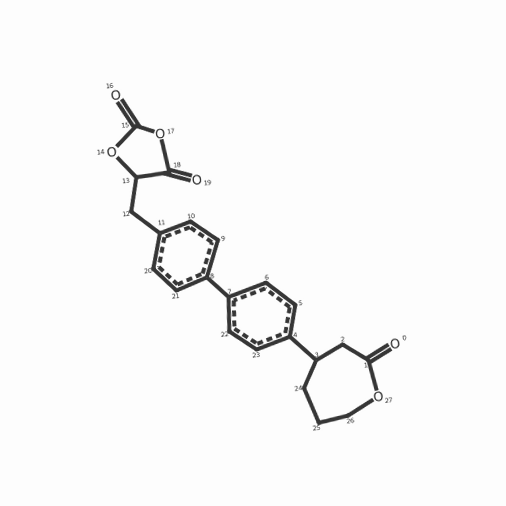 O=C1CC(c2ccc(-c3ccc(CC4OC(=O)OC4=O)cc3)cc2)CCCO1